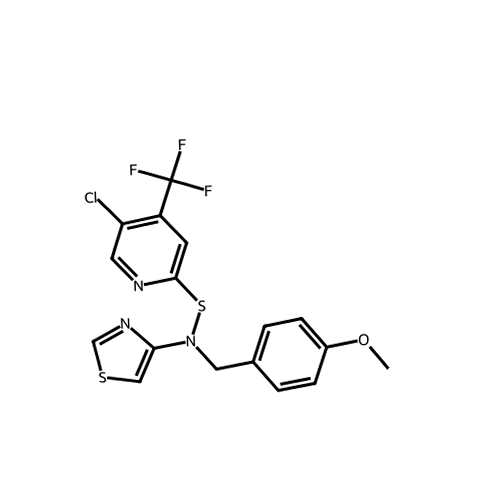 COc1ccc(CN(Sc2cc(C(F)(F)F)c(Cl)cn2)c2cscn2)cc1